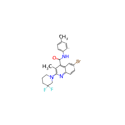 Cc1c[c]c(NC(=O)c2c(C)c(N3CCCC(F)(F)C3)nc3ccc(Br)cc23)cc1